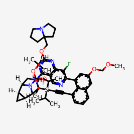 COCOc1cc(-c2ncc3c(N4C[C@@H]5[C@@H]6C[C@@H]6[C@H](C4)N5C(=O)OC(C)(C)C)nc(OCC45CCCN4CCC5)nc3c2F)c2c(C#C[Si](C(C)C)(C(C)C)C(C)C)cccc2c1